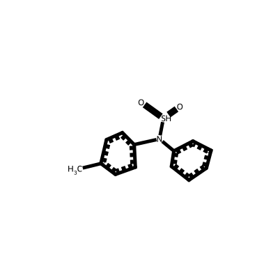 Cc1ccc(N(c2ccccc2)[SH](=O)=O)cc1